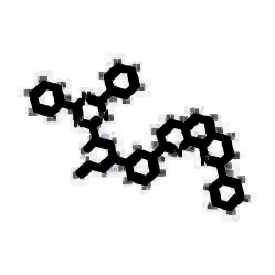 C=C/C=C(\C=C(/C)c1nc(-c2ccccc2)nc(-c2ccccc2)n1)c1cccc(-c2ccc3ccc4ccc(-c5ccccc5)nc4c3n2)c1